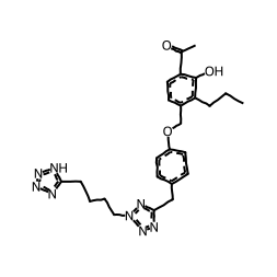 CCCc1c(COc2ccc(Cc3nnn(CCCCc4nnn[nH]4)n3)cc2)ccc(C(C)=O)c1O